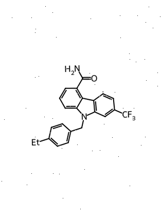 CCc1ccc(Cn2c3cc(C(F)(F)F)c[c]c3c3c(C(N)=O)cccc32)cc1